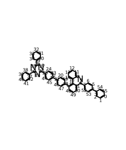 c1ccc(-c2ccc(-c3nc4ccccc4c4c(-c5ccc(-c6ccc(-c7nc(-c8ccccc8)nc(-c8ccccc8)n7)cc6)cc5)cccc34)cc2)cc1